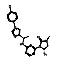 CC(Nc1nccc(N2C(=O)N(C)C[C@@H]2C(C)C)n1)c1cn(-c2ccc(Cl)cc2)cn1